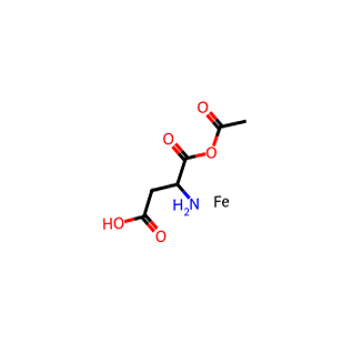 CC(=O)OC(=O)C(N)CC(=O)O.[Fe]